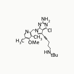 COc1c(C)cnc(Cn2cc(C#CCCCNC(C)(C)C)c3c(Cl)nc(N)nc32)c1C